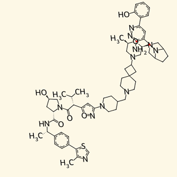 Cc1ncsc1-c1ccc([C@H](C)NC(=O)[C@@H]2C[C@@H](O)CN2C(=O)[C@@H](c2cc(N3CCC(CN4CCC5(CC4)CC(N4C[C@H](CN6C7CCC6CN(c6cc(-c8ccccc8O)nnc6N)C7)O[C@H](C)C4)C5)CC3)no2)C(C)C)cc1